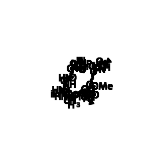 COc1cc2c(cc1OCCCCCOc1cc3c(cc1OC)C(=O)N1CC4(CC4)C[C@H]1C(O)N3C(=O)OCc1ccc(NC(=O)[C@H](C)NC(=O)[C@@H](NC(=O)CNC(=O)CNC(=O)CCC(=O)N3Cc4ccccc4-c4c(nnn4C(C)C)-c4ccccc43)C(C)C)cc1)N=C[C@@H]1CC3(CC3)CN1C2=O